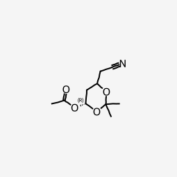 CC(=O)O[C@@H]1CC(CC#N)OC(C)(C)O1